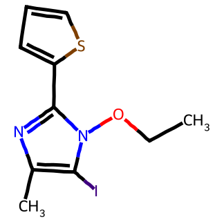 CCOn1c(-c2cccs2)nc(C)c1I